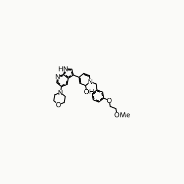 COCCOc1cccc(CN2C=CC(c3c[nH]c4ncc(N5CCOCC5)cc34)=CC2O)c1